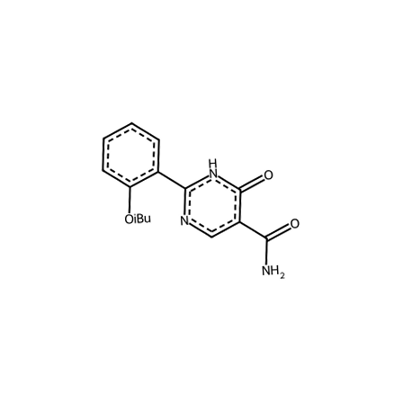 CC(C)COc1ccccc1-c1ncc(C(N)=O)c(=O)[nH]1